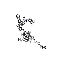 CC(C)(C)OC(=O)N[C@@H](CSCc1cccc(C(=O)Nc2ccc(N3CCCCC3)cc2C(=O)N/N=C/c2ccc(Cl)c(C(F)(F)F)c2)c1)C(=O)NCCOCCOCCOCCN=[N+]=[N-]